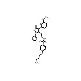 CCCCCc1ccc(S(=O)(=O)NCCc2c(-c3cccs3)n[nH]c2-c2cccc(NC)n2)cc1